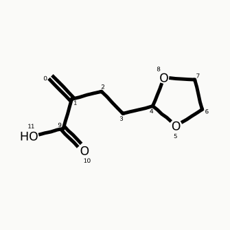 C=C(CCC1OCCO1)C(=O)O